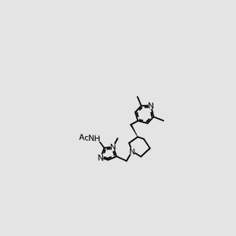 CC(=O)Nc1ncc(CN2CCC[C@H](Cc3cc(C)nc(C)c3)C2)n1C